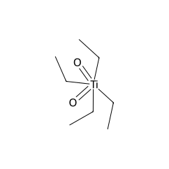 C[CH2][Ti](=[O])(=[O])([CH2]C)([CH2]C)[CH2]C